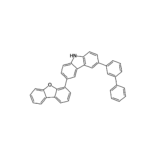 c1ccc(-c2cccc(-c3ccc4[nH]c5ccc(-c6cccc7c6oc6ccccc67)cc5c4c3)c2)cc1